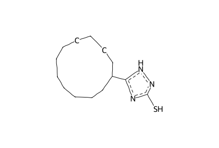 Sc1n[nH]c(C2CCCCCCCCCCC2)n1